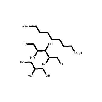 CCCCCCCCCCCCCCCCCC(=O)O.OCC(O)C(O)C(O)CO.OCC(O)CO